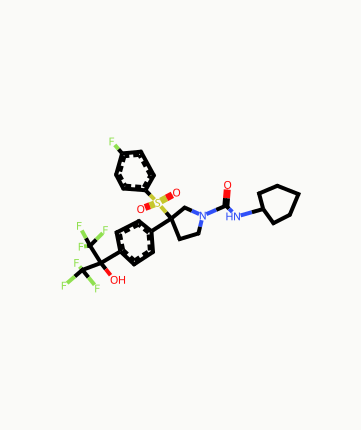 O=C(NC1CCCCC1)N1CCC(c2ccc(C(O)(C(F)(F)F)C(F)(F)F)cc2)(S(=O)(=O)c2ccc(F)cc2)C1